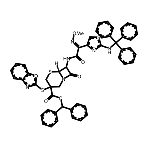 CON=C(C(=O)NC1C(=O)N2CC(Sc3nc4ccccc4o3)(C(=O)OC(c3ccccc3)c3ccccc3)CS[C@H]12)c1csc(NC(c2ccccc2)(c2ccccc2)c2ccccc2)n1